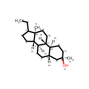 CCC1CC[C@H]2[C@@H]3CC[C@H]4C[C@](C)(O)CC[C@@H]4[C@H]3CC[C@]12C